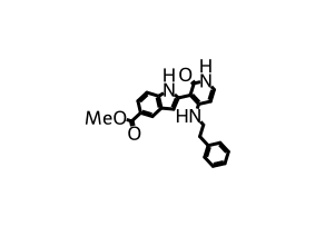 COC(=O)c1ccc2[nH]c(-c3c(NCCc4ccccc4)cc[nH]c3=O)cc2c1